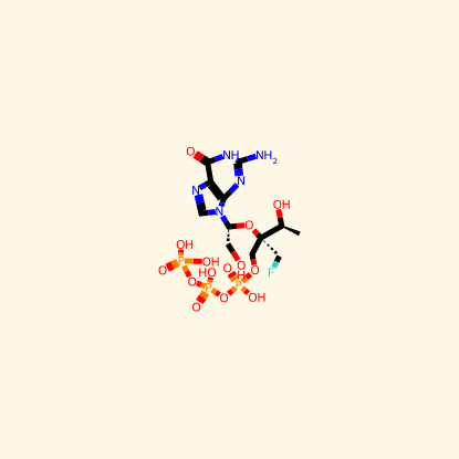 C[C@H](O)[C@@](CF)(COP(=O)(O)OP(=O)(O)OP(=O)(O)O)O[C@H](CO)n1cnc2c(=O)[nH]c(N)nc21